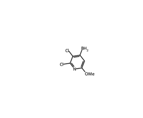 Bc1cc(OC)nc(Cl)c1Cl